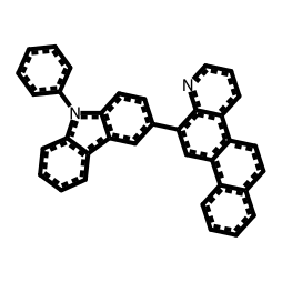 c1ccc(-n2c3ccccc3c3cc(-c4cc5c6ccccc6ccc5c5cccnc45)ccc32)cc1